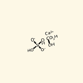 O=C(O)O.[Ca+2].[O-][Si]([O-])(O)O